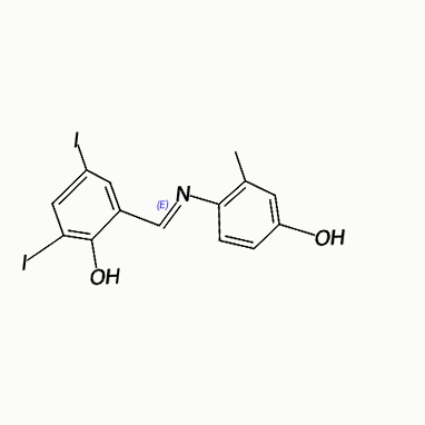 Cc1cc(O)ccc1/N=C/c1cc(I)cc(I)c1O